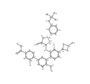 COC(=O)c1ccc(-c2cnc(OC)c(-c3cnc(N4CC(F)C4)nc3CN3C(=O)O[C@H](c4cccc(OC(F)(F)F)c4)[C@@H]3C)c2)c(C)c1